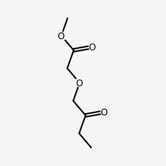 CCC(=O)COCC(=O)OC